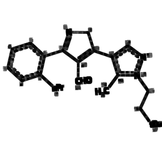 CCCc1ccccc1C1=NCC(c2cnn(CCC(C)(C)C)c2C)=C1C=O